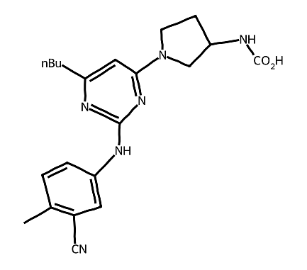 CCCCc1cc(N2CCC(NC(=O)O)C2)nc(Nc2ccc(C)c(C#N)c2)n1